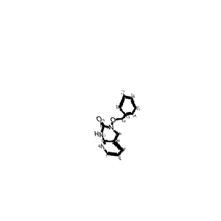 O=C1Nc2ncccc2CN1OCc1ccccc1